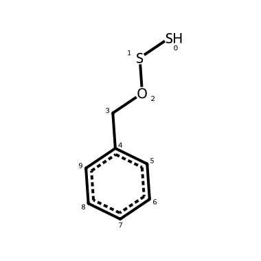 SSOCc1ccccc1